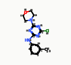 FC(F)(F)c1cccc(Nc2nc(Cl)nc(N3CCOCC3)n2)c1